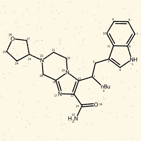 CCCCC(Cc1c[nH]c2ccccc12)c1c(C(N)=O)nc2n1CCN(C1CCOC1)C2